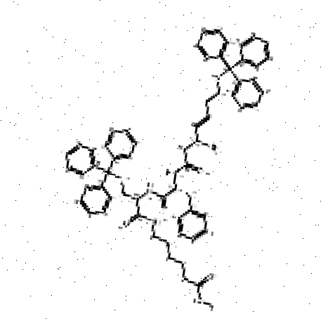 COC(=O)CCCCCNC(=O)[C@@H](CSC(c1ccccc1)(c1ccccc1)c1ccccc1)NC(=O)[C@@H](Cc1ccccc1)NC(=O)C[C@H](O)C=CCCSC(c1ccccc1)(c1ccccc1)c1ccccc1